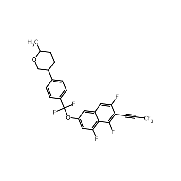 CC1CCC(c2ccc(C(F)(F)Oc3cc(F)c4c(F)c(C#CC(F)(F)F)c(F)cc4c3)cc2)CO1